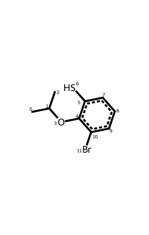 CC(C)Oc1c(S)cccc1Br